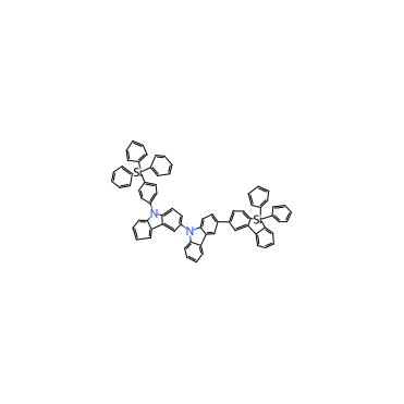 c1ccc([Si](c2ccccc2)(c2ccccc2)c2ccc(-n3c4ccccc4c4cc(-n5c6ccccc6c6cc(-c7ccc8c(c7)-c7ccccc7[Si]8(c7ccccc7)c7ccccc7)ccc65)ccc43)cc2)cc1